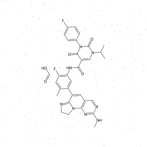 CNc1ncc2c(n1)N1CCN=C1C(c1cc(NC(=O)c3cn(C(C)C)c(=O)n(-c4ccc(F)cc4)c3=O)c(F)cc1C)=C2.O=CO